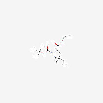 CCOC(=O)[C@@H]1CC2(CC)CC2N1C(=O)OC(C)(C)C